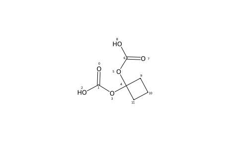 O=C(O)OC1(OC(=O)O)CCC1